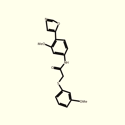 COc1cccc(SCC(=O)Nc2ccc(-c3cnco3)c(OC)c2)c1